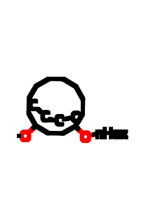 [CH2]CCCCCOC1CCC([O])CC2CCCCCC1CCCCC2